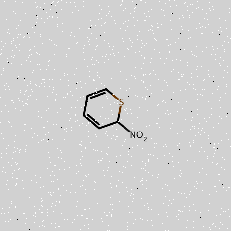 O=[N+]([O-])C1C=CC=CS1